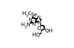 C[Se]c1nc(N)nc2c1ncn2[C@H]1C[C@H](O)[C@@H](CO)O1